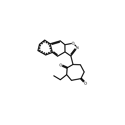 CCC1CC(=O)CCC(C2=NOC3C=c4ccccc4=CC23)C1=O